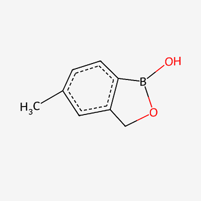 Cc1ccc2c(c1)COB2O